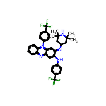 CC1(C)CC(N=c2cc3n(-c4ccc(C(F)(F)F)cc4)c4ccccc4nc-3cc2Nc2ccc(C(F)(F)F)cc2)CC(C)(C)N1